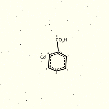 O=C(O)c1ccccc1.[Cd]